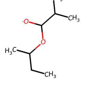 CCC(C)OC([O])C(C)C